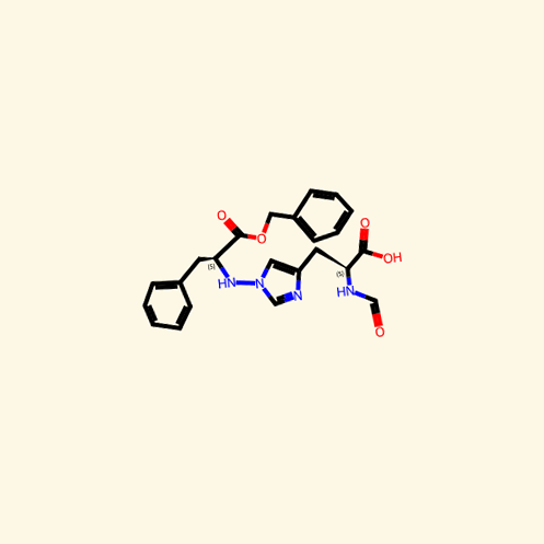 O=CN[C@@H](Cc1cn(N[C@@H](Cc2ccccc2)C(=O)OCc2ccccc2)cn1)C(=O)O